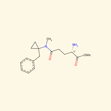 COC(=O)[C@@H](N)CCC(=O)N(C)C1(Cc2ccccc2)CC1